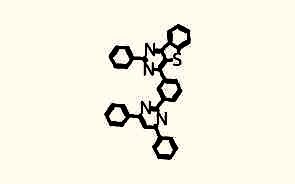 c1ccc(-c2cc(-c3ccccc3)nc(-c3cccc(-c4nc(-c5ccccc5)nc5c4sc4ccccc45)c3)n2)cc1